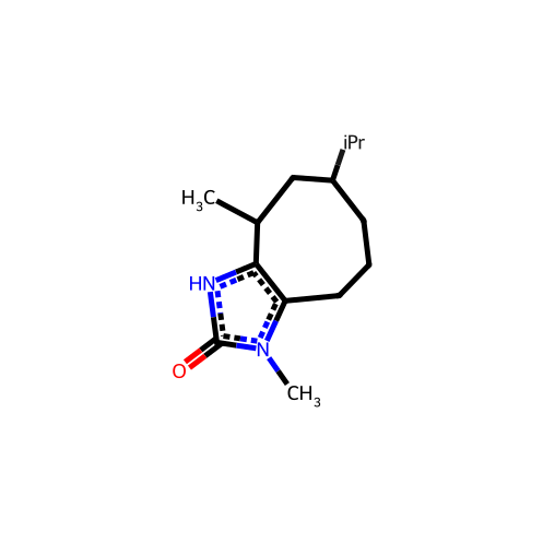 CC1CC(C(C)C)CCCc2c1[nH]c(=O)n2C